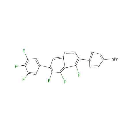 CCCc1ccc(-c2ccc3cc(-c4cc(F)c(F)c(F)c4)c(F)c(F)c3c2F)cc1